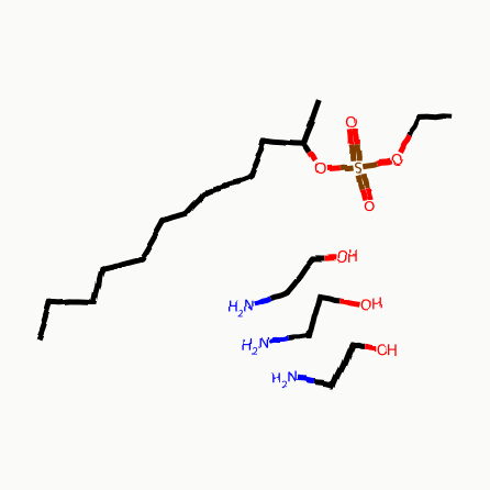 CCCCCCCCCCC(C)OS(=O)(=O)OCC.NCCO.NCCO.NCCO